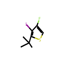 CC(C)(C)c1scc(F)c1I